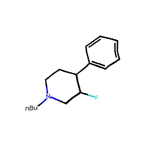 CCCCN1CCC(c2ccccc2)C(F)C1